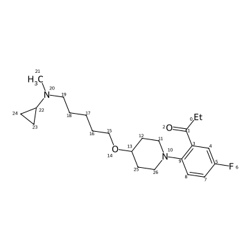 CCC(=O)c1cc(F)ccc1N1CCC(OCCCCCN(C)C2CC2)CC1